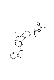 CCN1c2ccc(C(=O)c3ccccc3C)cc2C2C=C(/C(C)=N/OC(C)=O)C=CC21